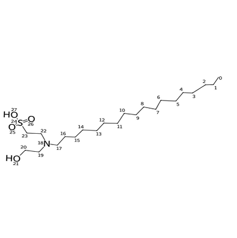 CCCCCCCCCCCCCCCCCCN(CCO)CCS(=O)(=O)O